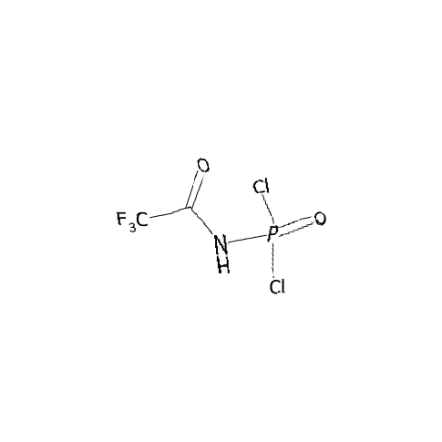 O=C(NP(=O)(Cl)Cl)C(F)(F)F